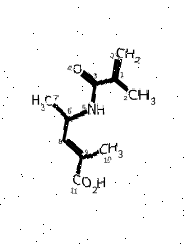 C=C(C)C(=O)NC(C)C=C(C)C(=O)O